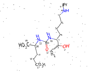 C=C(O)C(CCCCNC(C)C)NC(=O)NC(CCC(=O)O)C(=O)O